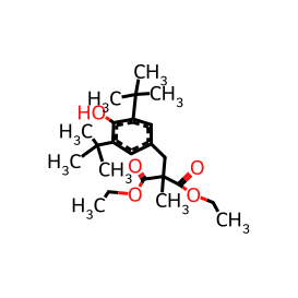 CCOC(=O)C(C)(Cc1cc(C(C)(C)C)c(O)c(C(C)(C)C)c1)C(=O)OCC